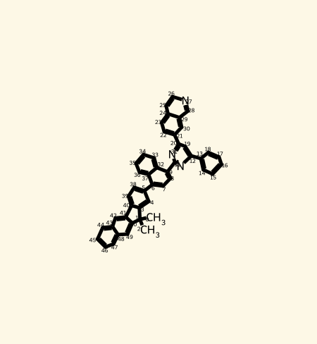 CC1(C)c2cc(-c3ccc(-c4nc(-c5ccccc5)cc(-c5ccc6ccncc6c5)n4)c4ccccc34)ccc2-c2cc3ccccc3cc21